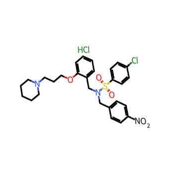 Cl.O=[N+]([O-])c1ccc(CN(Cc2ccccc2OCCCN2CCCCC2)S(=O)(=O)c2ccc(Cl)cc2)cc1